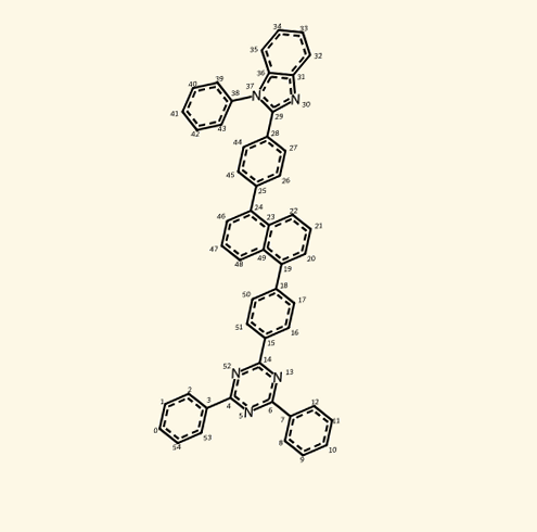 c1ccc(-c2nc(-c3ccccc3)nc(-c3ccc(-c4cccc5c(-c6ccc(-c7nc8ccccc8n7-c7ccccc7)cc6)cccc45)cc3)n2)cc1